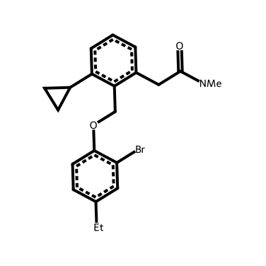 CCc1ccc(OCc2c(CC(=O)NC)cccc2C2CC2)c(Br)c1